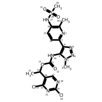 Cc1nc(-c2nnn(C)c2NC(=O)OC(C)c2cnc(Cl)nc2Cl)ccc1NS(C)(=O)=O